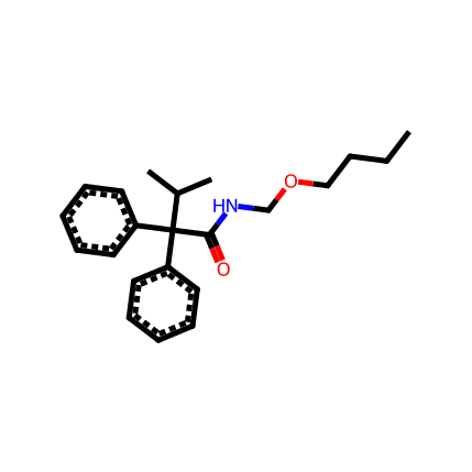 CCCCOCNC(=O)C(c1ccccc1)(c1ccccc1)C(C)C